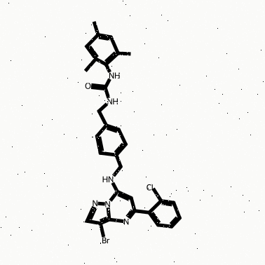 Cc1cc(C)c(NC(=O)NCc2ccc(CNc3cc(-c4ccccc4Cl)nc4c(Br)cnn34)cc2)c(C)c1